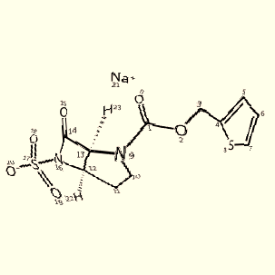 O=C(OCc1cccs1)N1CC[C@@H]2[C@H]1C(=O)N2S(=O)(=O)[O-].[Na+]